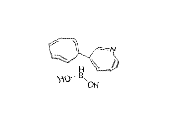 OBO.c1ccc(-c2cccnc2)cc1